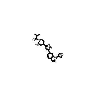 CC(C)C(=O)N1CCC(c2noc(-c3ccc4cnn(C5COC5)c4c3)n2)C[C@H]1C